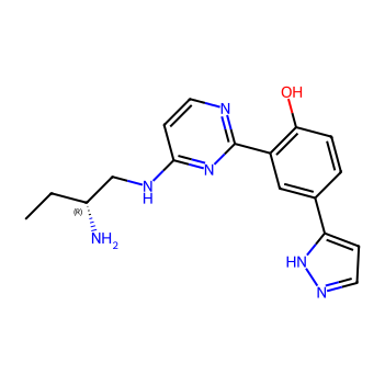 CC[C@@H](N)CNc1ccnc(-c2cc(-c3ccn[nH]3)ccc2O)n1